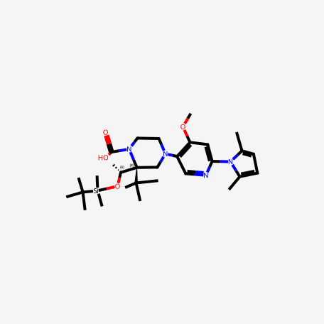 COc1cc(-n2c(C)ccc2C)ncc1N1CCN(C(=O)O)[C@]([C@@H](C)O[Si](C)(C)C(C)(C)C)(C(C)(C)C)C1